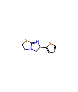 c1csc(C2CN3CCSC3=N2)c1